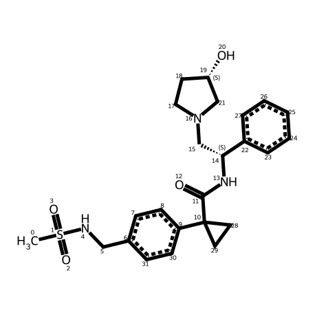 CS(=O)(=O)NCc1ccc(C2(C(=O)N[C@H](CN3CC[C@H](O)C3)c3ccccc3)CC2)cc1